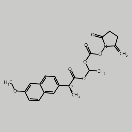 C=C1CCC(=O)N1OC(=O)OC(C)OC(=O)[C@@H](C)c1ccc2cc(OC)ccc2c1